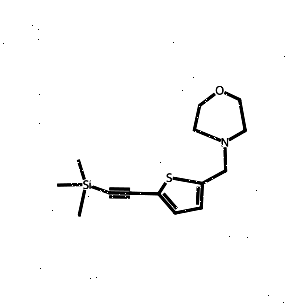 C[Si](C)(C)C#Cc1ccc(CN2CCOCC2)s1